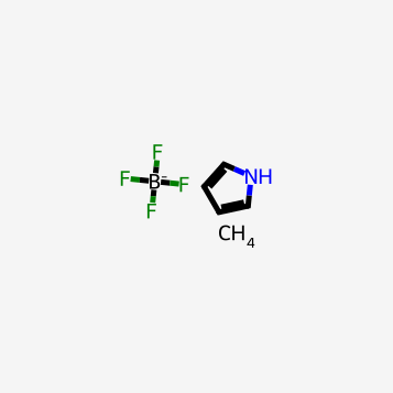 C.F[B-](F)(F)F.c1cc[nH]c1